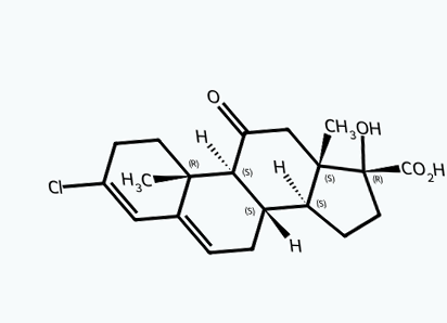 C[C@]12CCC(Cl)=CC1=CC[C@@H]1[C@@H]2C(=O)C[C@@]2(C)[C@H]1CC[C@]2(O)C(=O)O